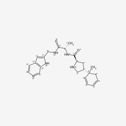 C[C@H](NC(=O)[C@H]1C[C@H](C2(C)C=CC=CC2)CN1)C(=O)NCc1cc2ccncc2[nH]1